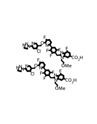 COCCn1c(Cc2c(F)cc(-c3ccc(F)c(OCc4cnc(-n5ccnn5)cc4Cl)n3)c(F)c2F)nc2c(F)cc(C(=O)O)cc21.COCCn1c(Cc2c(F)cc(-c3ccc(F)c(OCc4cnc(-n5ccnn5)cc4Cl)n3)c(F)c2F)nc2c(F)cc(C(=O)O)cc21